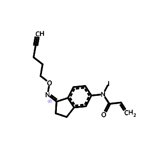 C#CCCCO/N=C1/CCc2cc(N(I)C(=O)C=C)ccc21